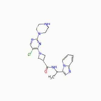 CC(NC(=O)C1CN(c2nc(N3CCNCC3)ncc2Cl)C1)c1cnc2ccccn12